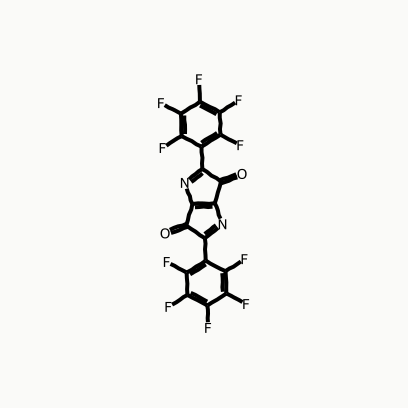 O=c1c(-c2c(F)c(F)c(F)c(F)c2F)nc2c(=O)c(-c3c(F)c(F)c(F)c(F)c3F)nc1=2